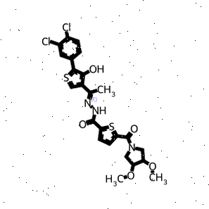 COC1CN(C(=O)c2ccc(C(=O)N/N=C(\C)c3csc(-c4ccc(Cl)c(Cl)c4)c3O)s2)CC1OC